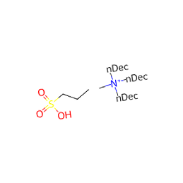 CCCCCCCCCC[N+](C)(CCCCCCCCCC)CCCCCCCCCC.CCCS(=O)(=O)O